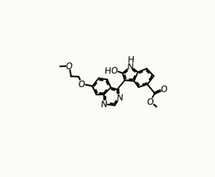 COCCOc1ccc2c(-c3c(O)[nH]c4ccc(C(=O)OC)cc34)ncnc2c1